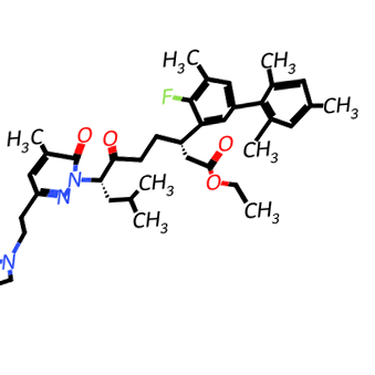 CCOC(=O)C[C@H](CCC(=O)[C@H](CC(C)C)n1nc(CCN2CC(F)C2)cc(C)c1=O)c1cc(-c2c(C)cc(C)cc2C)cc(C)c1F